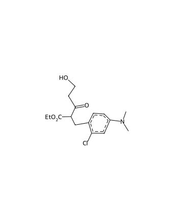 CCOC(=O)C(Cc1ccc(N(C)C)cc1Cl)C(=O)CCO